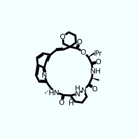 CC(C)[C@@H]1OC(=O)C2(/C=C/c3ccc4ccc(nc4c3)[C@@H](C)NC(=O)[C@@H]3CCCN(N3)C(=O)[C@H](C)NC1=O)CCCOC2